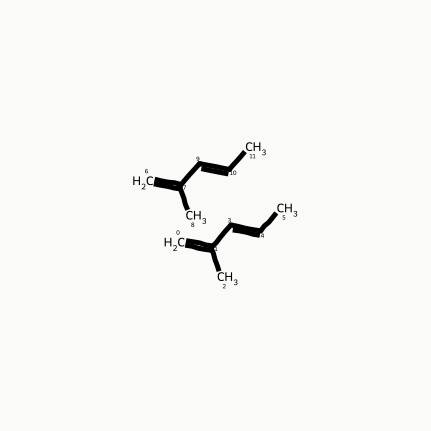 C=C(C)C=CC.C=C(C)C=CC